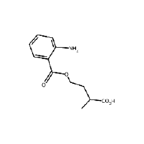 CC(CCOC(=O)c1ccccc1N)C(=O)O